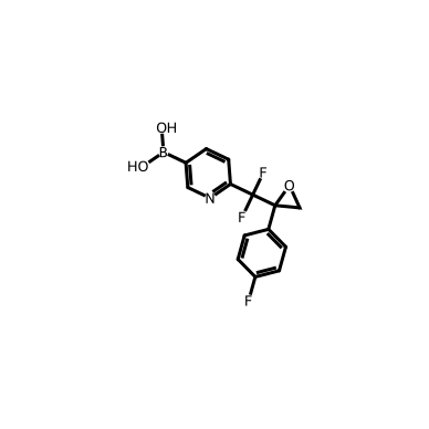 OB(O)c1ccc(C(F)(F)C2(c3ccc(F)cc3)CO2)nc1